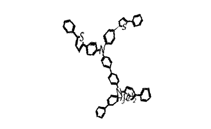 C=C(/C=C\C(=C/C)c1ccccc1)N(C1=CC=C(c2ccccc2)CC1)c1ccc(-c2ccc(N(c3ccc(-c4ccc(-c5ccccc5)s4)cc3)c3ccc([C@H]4CC=C(c5ccccc5)S4)cc3)cc2)cc1